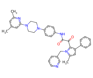 Cc1cc(C)nc(N2CCN(c3ccc(NC(=O)C(=O)c4c(-c5ccccc5)cc(C)n4Cc4cccnc4)cc3)CC2)c1